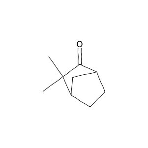 CC1(C)C(=O)C2CCC1C2